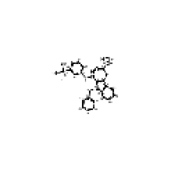 Cl.O=C(O)Cc1c(NCc2cccc(C(F)(F)F)c2)n(Cc2ccccc2)c2ccccc12